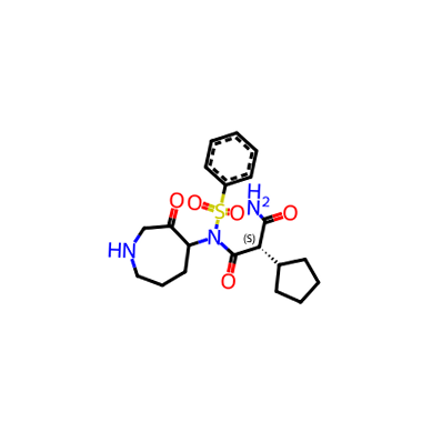 NC(=O)[C@@H](C(=O)N(C1CCCNCC1=O)S(=O)(=O)c1ccccc1)C1CCCC1